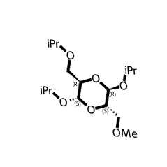 COC[C@@H]1O[C@H](OC(C)C)[C@@H](COC(C)C)O[C@H]1OC(C)C